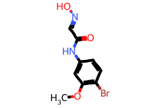 COc1cc(NC(=O)C=NO)ccc1Br